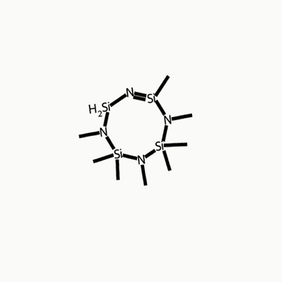 CN1[SiH2]/N=[Si](/C)N(C)[Si](C)(C)N(C)[Si]1(C)C